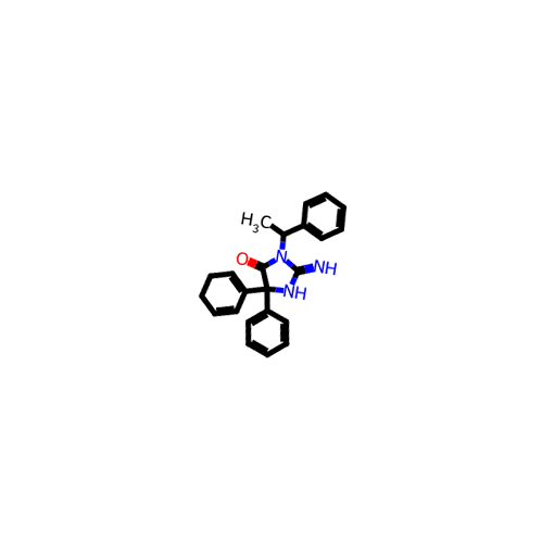 CC(c1ccccc1)N1C(=N)NC(C2=CCCC=C2)(c2ccccc2)C1=O